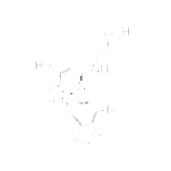 COCCNC1=NC(N)(c2cc3c(c(Br)c2F)OCC3)NC(C)=C1